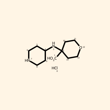 Cl.O=C(O)C1(NC2CCNCC2)CCOCC1